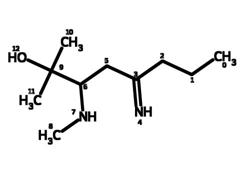 CCCC(=N)CC(NC)C(C)(C)O